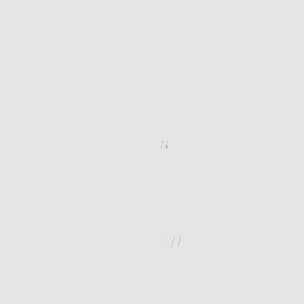 BCCn1c2ccccc2c2ccccc21